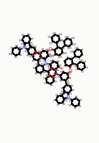 c1ccc(-c2ccc3c(c2-c2ccccc2)Oc2cc(-c4ccc5c(c4)c4ccccc4n5-c4ccccc4)cc4c2B3c2cc3c(cc2N4c2ccccc2)N(c2c(-c4ccccc4)cccc2-c2ccccc2)c2cc(-c4ccc5c(c4)c4ccccc4n5-c4ccccc4)cc4c2B3c2ccc(-c3ccccc3)c(-c3ccccc3)c2O4)cc1